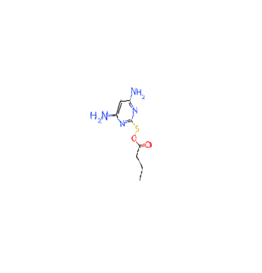 CCCC(=O)OSc1nc(N)cc(N)n1